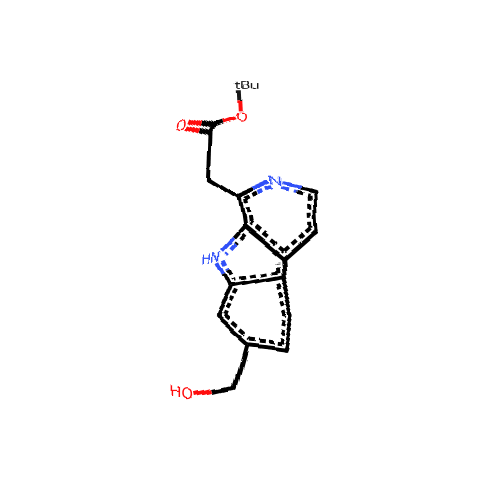 CC(C)(C)OC(=O)Cc1nccc2c1[nH]c1cc(CO)ccc12